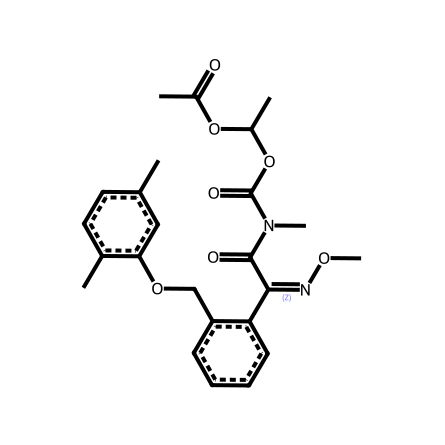 CO/N=C(\C(=O)N(C)C(=O)OC(C)OC(C)=O)c1ccccc1COc1cc(C)ccc1C